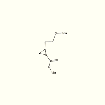 CCCCOCC[C@H]1CN1C(=O)OC(C)(C)C